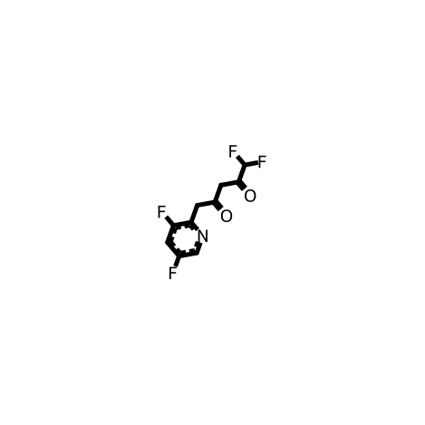 O=C(CC(=O)C(F)F)Cc1ncc(F)cc1F